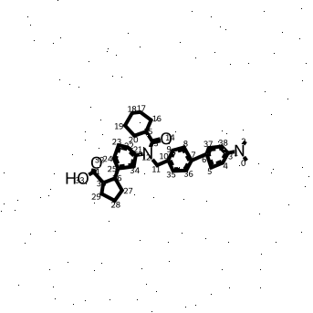 CN(C)c1ccc(-c2ccc(CN(C(=O)C3CCCCC3)c3cccc(C4CCCC4C(=O)O)c3)cc2)cc1